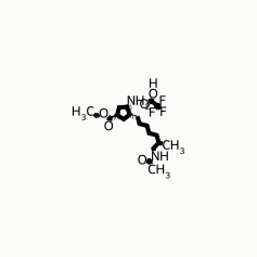 CCOC(=O)[C@@H]1C[C@@H](CCCCCC(C)CNC(C)=O)[C@H](N)C1.O=C(O)C(F)(F)F